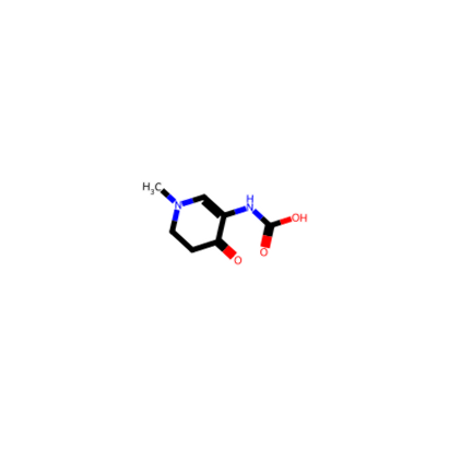 CN1C=C(NC(=O)O)C(=O)CC1